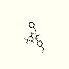 CC(C)(C)OC(=O)N[C@@H](Cc1ccccc1)C(=O)Nc1ccc(C=O)cc1